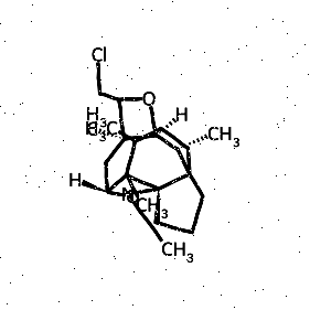 CC1CCC23CCC[C@]24N(C)O[C@H](C[C@@]2(C)C(CCl)O[C@H]2[C@@H]3C)C14C